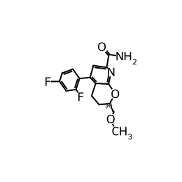 COC[C@H]1CCc2c(-c3ccc(F)cc3F)cc(C(N)=O)nc2O1